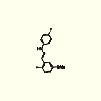 COc1ccc(F)c(C=NNc2ccc(F)cc2)c1